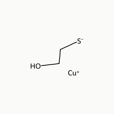 OCC[S-].[Cu+]